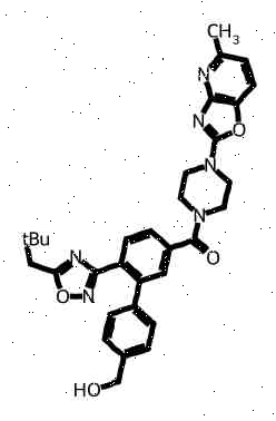 Cc1ccc2oc(N3CCN(C(=O)c4ccc(-c5noc(CC(C)(C)C)n5)c(-c5ccc(CO)cc5)c4)CC3)nc2n1